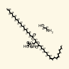 CCCCC/C=C\C/C=C\CCCCCCCC(=O)OC(COC(=O)CCCCCCCCCCCCCCCCC)COP(=O)(O)O.NCCO